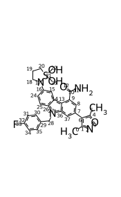 Cc1noc(C)c1-c1cc(C(N)=O)c2c3cc(N4CCCS4(O)O)ccc3n(Cc3ccc(F)cc3)c2c1